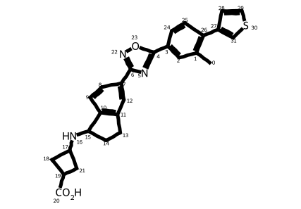 Cc1cc(-c2nc(-c3ccc4c(c3)CCC4NC3CC(C(=O)O)C3)no2)ccc1-c1ccsc1